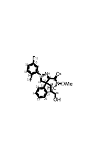 CON(C)C(=O)C1=NN(c2cc(F)ccc2F)CC1(CCCO)c1ccccc1